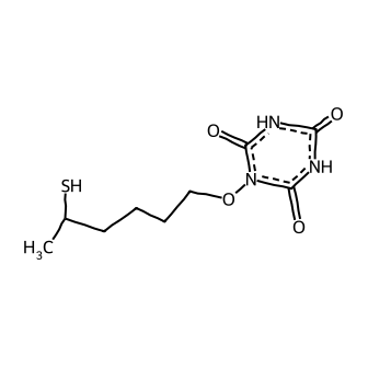 CC(S)CCCCOn1c(=O)[nH]c(=O)[nH]c1=O